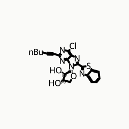 CCCCC#Cc1nc(Cl)c2nc(-c3nc4ccccc4s3)n([C@@H]3OC[C@@H](O)[C@H]3O)c2n1